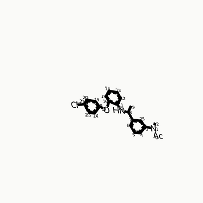 CC(=O)N(C)c1cccc(C(C)Nc2ccccc2Oc2ccc(Cl)cc2)c1